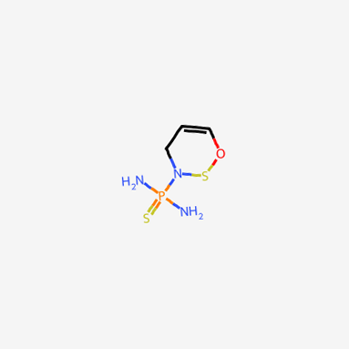 NP(N)(=S)N1CC=COS1